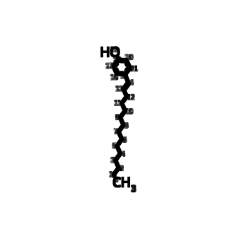 CCCCCCCCCCCCCC=Cc1ccc(O)cc1